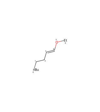 CCCCCC/C=C/OCC